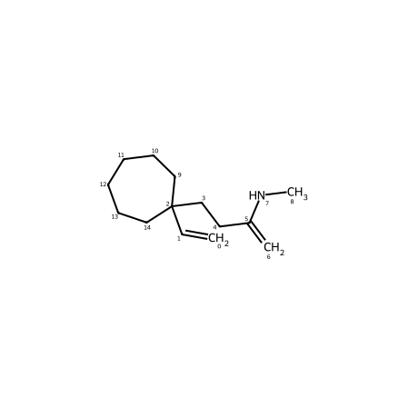 C=CC1(CCC(=C)NC)CCCCCC1